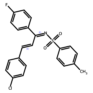 Cc1ccc(S(=O)(=O)/N=C(\C=C\c2ccc(Cl)cc2)c2ccc(F)cc2)cc1